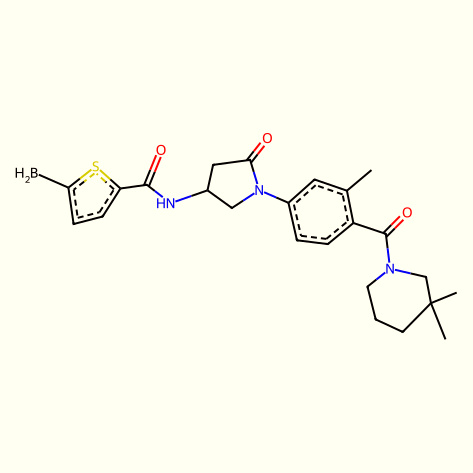 Bc1ccc(C(=O)NC2CC(=O)N(c3ccc(C(=O)N4CCCC(C)(C)C4)c(C)c3)C2)s1